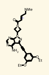 CCOc1cc(C#Cc2nn(C3CN(C(=O)/C=C/CNC)C3)c3ncnc(N)c23)cc(OCC)c1